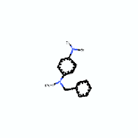 CCCC(C)N(Cc1ccccc1)c1ccc(N(CC)CC)cc1